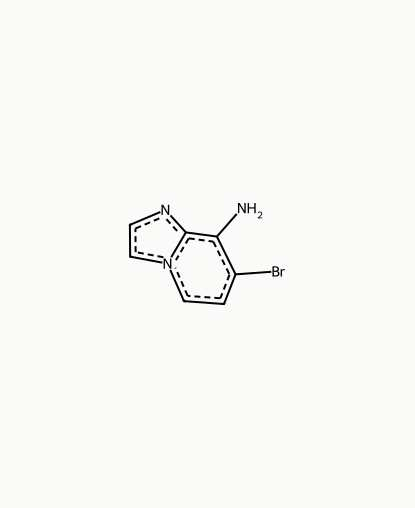 Nc1c(Br)ccn2ccnc12